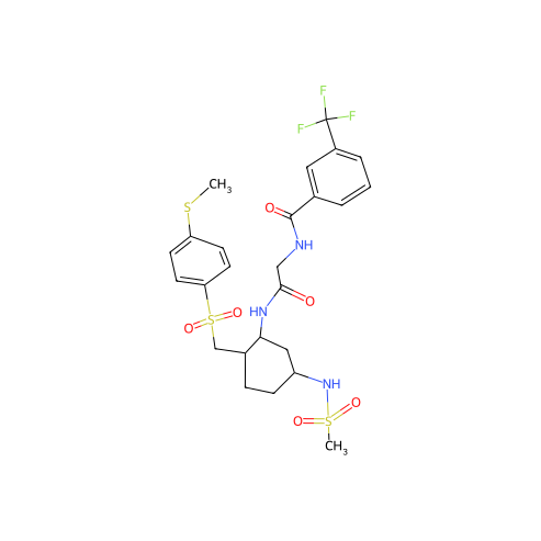 CSc1ccc(S(=O)(=O)CC2CCC(NS(C)(=O)=O)CC2NC(=O)CNC(=O)c2cccc(C(F)(F)F)c2)cc1